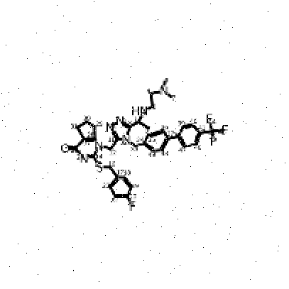 CC(NCCN(C)C)c1nnc(Cn2c(SCc3ccc(F)cc3)nc(=O)c3c2CCC3)n1Cc1ccc(-c2ccc(C(F)(F)F)cc2)cc1